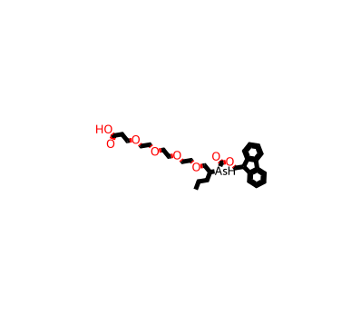 CCCC(COCCOCCOCCOCCC(=O)O)[AsH]C(=O)OCC1c2ccccc2-c2ccccc21